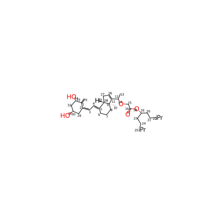 C=C1/C(=C\C=C2/CCC[C@]3(C)C(C(C)OCC(=O)OC(CCC(C)C)CCC(C)C)=CC[C@@H]23)C[C@@H](O)C[C@@H]1O